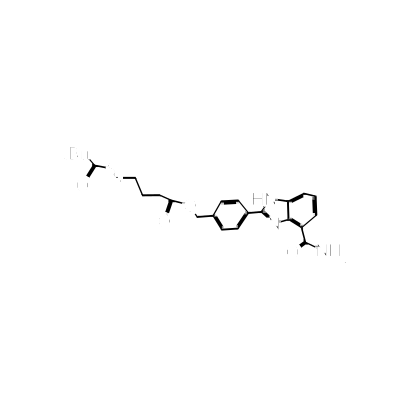 CC(C)(C)C(=O)SSCCCC(=O)OCc1ccc(-c2nc3c(C(N)=O)cccc3[nH]2)cc1